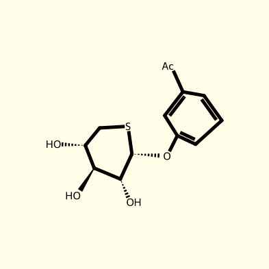 CC(=O)c1cccc(O[C@H]2SC[C@@H](O)[C@H](O)[C@H]2O)c1